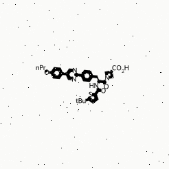 CCCOc1ccc(-c2cnc(-c3ccc(C[C@H](NC(=O)c4ccc(C(C)(C)C)s4)C(=O)N4CC(C(=O)O)C4)cc3)nc2)cc1